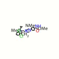 C=C(/C(CCN1CCN(c2ccc(C(=N)C(=O)OC)c(NC)c2)CC1)=C(\OC)C1CC1)c1c(Cl)cccc1Cl